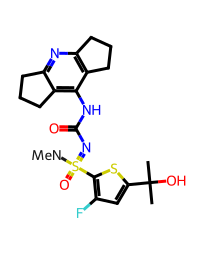 CNS(=O)(=NC(=O)Nc1c2c(nc3c1CCC3)CCC2)c1sc(C(C)(C)O)cc1F